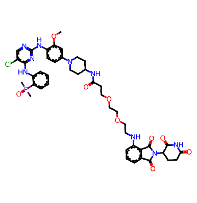 COc1cc(N2CCC(NC(=O)CCOCCOCCNc3cccc4c3C(=O)N(C3CCC(=O)NC3=O)C4=O)CC2)ccc1Nc1ncc(Cl)c(Nc2ccccc2P(C)(C)=O)n1